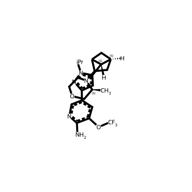 CC(C)n1nc(-c2cnc(N)c(OC(F)(F)F)c2)cc1[C@@H]1C2C[C@H]1CC2N1CCOC[C@@H]1C